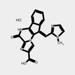 Cl.Cn1ccnc1C=c1c2ccccc2c2[nH]c(=O)c3nc(C(=O)O)cn3c12